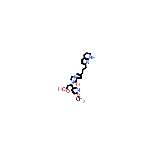 COc1ccc(C(CC(=O)O)N2CCn3cc(CCCc4ccc5c(n4)NCCC5)cc3C2=O)cn1